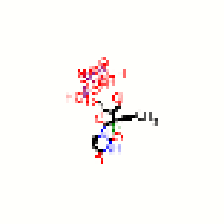 CC#CC1(Cl)C(CO)[C@@H](COP(=O)(O)OP(=O)(O)OP(=O)(O)O)O[C@H]1n1ccc(=O)[nH]c1=O